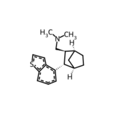 CN(C)C[C@H]1[C@H]2CC[C@H](C2)[C@@H]1c1cccc2sccc12